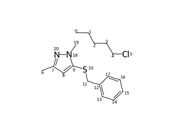 CCCCCCl.Cc1cc(SCc2ccccc2)n(C)n1